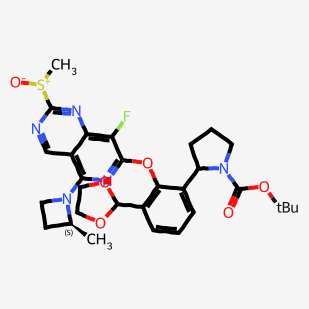 C[C@H]1CCN1c1nc(Oc2c(C3OCCO3)cccc2C2CCCN2C(=O)OC(C)(C)C)c(F)c2nc([S+](C)[O-])ncc12